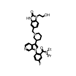 CCN(C(=O)c1cc(F)ccc1-n1cc(C2CCCN(Cc3ccc4c(c3)[nH]c(=O)n4CCO)C2)c2ccncc21)C(C)C